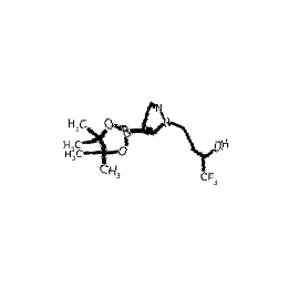 CC1(C)OB(c2cnn(CCC(O)C(F)(F)F)c2)OC1(C)C